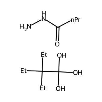 CCC(CC)(CC)C(O)(O)O.CCCC(=O)NN